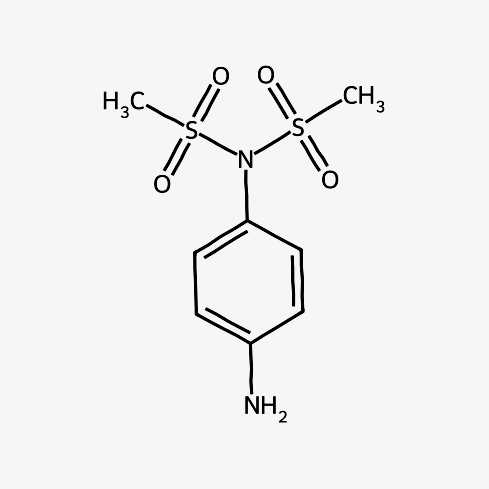 CS(=O)(=O)N(c1ccc(N)cc1)S(C)(=O)=O